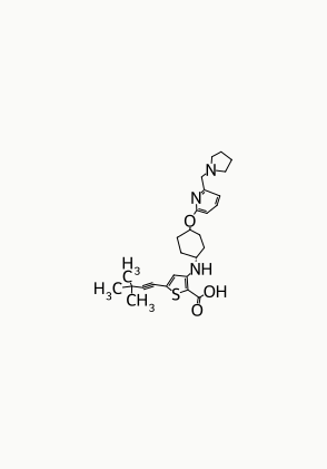 CC(C)(C)C#Cc1cc(N[C@H]2CC[C@H](Oc3cccc(CN4CCCC4)n3)CC2)c(C(=O)O)s1